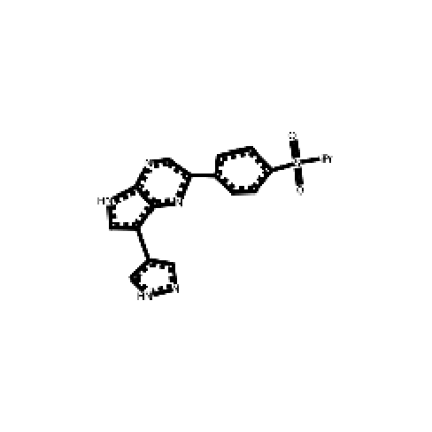 CC(C)S(=O)(=O)c1ccc(-c2cnc3[nH]cc(-c4cn[nH]c4)c3n2)cc1